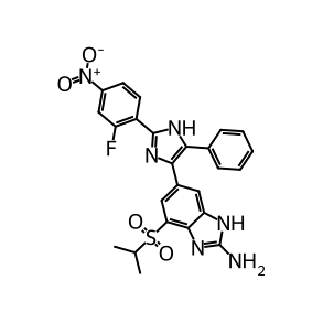 CC(C)S(=O)(=O)c1cc(-c2nc(-c3ccc([N+](=O)[O-])cc3F)[nH]c2-c2ccccc2)cc2[nH]c(N)nc12